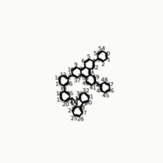 c1ccc(-c2ccc3c4ccc(-c5cccc(-c6cccc(-n7c8ccccc8c8ccccc87)c6)c5)cc4c4ccc(-c5ccccc5)cc4c3c2)cc1